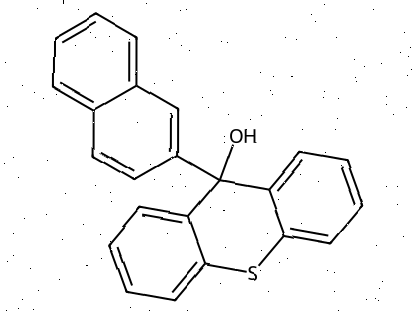 OC1(c2ccc3ccccc3c2)c2ccccc2Sc2ccccc21